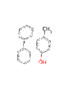 Cc1ccc(O)cc1.c1ccc(-c2ccccc2)cc1